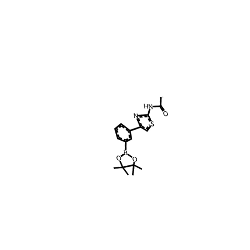 [CH2]C(=O)Nc1nc(-c2cccc(B3OC(C)(C)C(C)(C)O3)c2)cs1